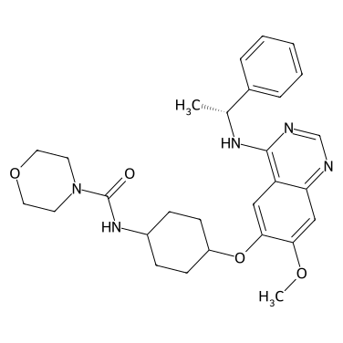 COc1cc2ncnc(N[C@H](C)c3ccccc3)c2cc1OC1CCC(NC(=O)N2CCOCC2)CC1